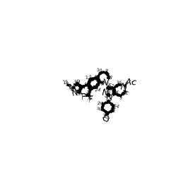 CC(=O)N1CCc2c(c(N3CCCc4cc(-c5cnn(C)c5)c(C(F)F)cc43)nn2C2CCC(=O)CC2)C1